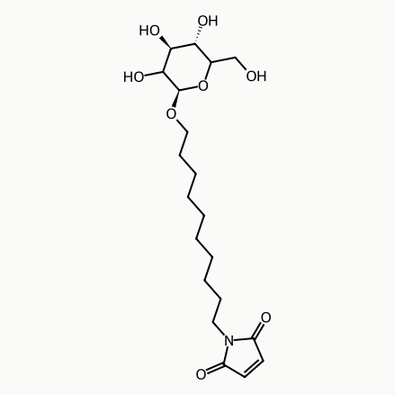 O=C1C=CC(=O)N1CCCCCCCCCCO[C@@H]1OC(CO)[C@@H](O)[C@H](O)C1O